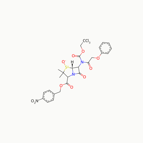 CC1(C)C(C(=O)OCc2ccc([N+](=O)[O-])cc2)N2C(=O)C(N(C(=O)COc3ccccc3)C(=O)OCC(Cl)(Cl)Cl)[C@H]2[S+]1[O-]